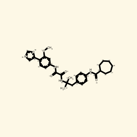 COc1cc(NC(=O)C(=O)NC(C)(C)Cc2ccc(NC(=O)C3CCCCCC3)cc2)ccc1-c1cnco1